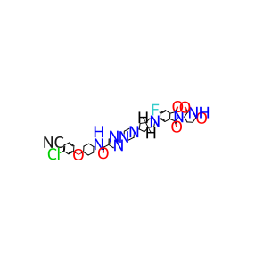 N#Cc1ccc(OC2CCC(NC(=O)c3cnc(N4CCN([C@H]5C[C@@H]6CN(c7cc8c(cc7F)C(=O)N(C7CCC(=O)NC7=O)C8=O)C[C@@H]6C5)CC4)nc3)CC2)cc1Cl